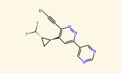 CCC#Cc1nnc(-c2cncnc2)cc1[C@H]1C[C@@H]1C(F)F